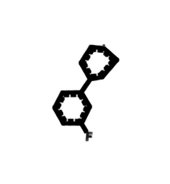 Fc1cccc(-c2cc[c]cc2)c1